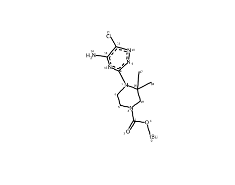 CC(C)(C)OC(=O)N1CCN(c2nnc(Cl)c(N)n2)C(C)(C)C1